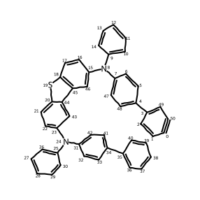 c1ccc(-c2ccc(N(c3ccccc3)c3ccc4sc5ccc(N(c6ccccc6)c6ccc(-c7ccccc7)cc6)cc5c4c3)cc2)cc#1